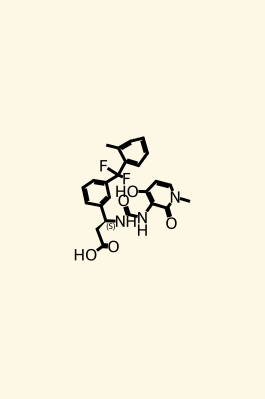 Cc1ccccc1C(F)(F)c1cccc([C@H](CC(=O)O)NC(=O)Nc2c(O)ccn(C)c2=O)c1